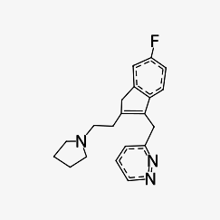 Fc1ccc2c(c1)CC(CCN1CCCC1)=C2Cc1cccnn1